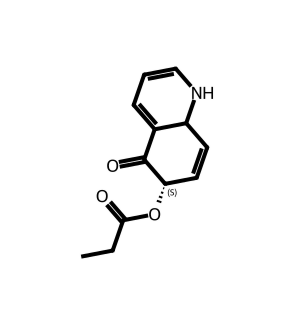 CCC(=O)O[C@H]1C=CC2NC=CC=C2C1=O